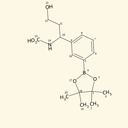 CC1(C)OB(c2cccc(C(CCO)NC(=O)O)c2)OC1(C)C